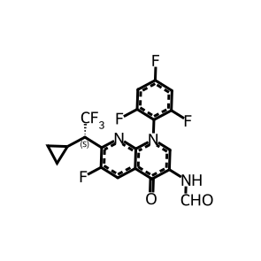 O=CNc1cn(-c2c(F)cc(F)cc2F)c2nc([C@H](C3CC3)C(F)(F)F)c(F)cc2c1=O